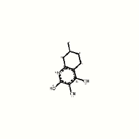 CC1CCc2c(nc(O)c(C#N)c2O)C1